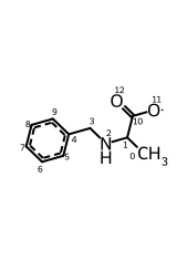 CC(NCc1ccccc1)C([O])=O